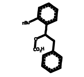 CCCCc1ccccc1C(Cc1ccccc1)OC(=O)O